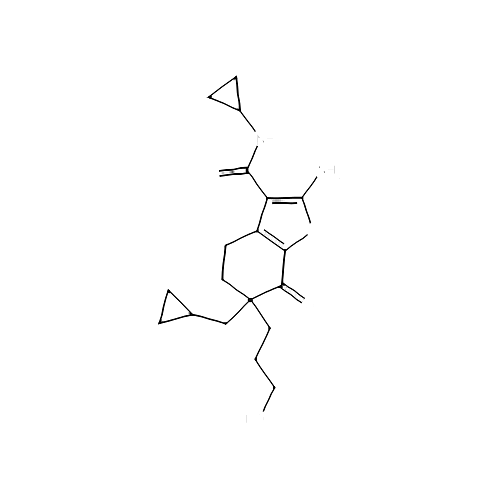 Nc1sc2c(c1C(=O)NC1CC1)CCC(CCCO)(CC1CC1)C2=O